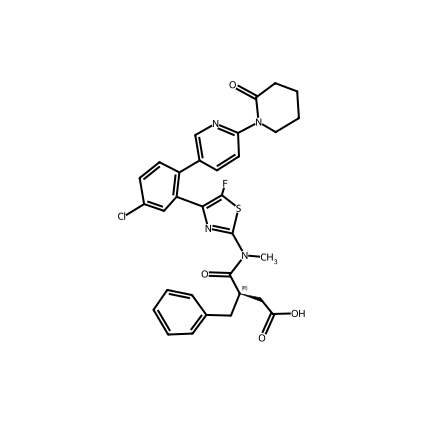 CN(C(=O)[C@@H](CC(=O)O)Cc1ccccc1)c1nc(-c2cc(Cl)ccc2-c2ccc(N3CCCCC3=O)nc2)c(F)s1